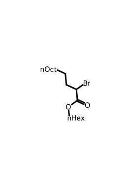 CCCCCCCCCCC(Br)C(=O)OCCCCCC